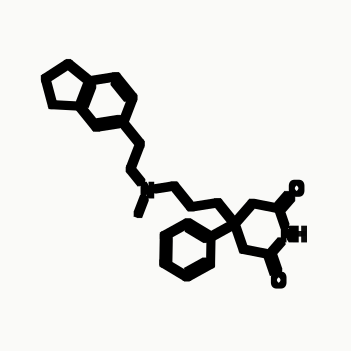 CN(CCCC1(c2ccccc2)CC(=O)NC(=O)C1)CCc1ccc2c(c1)CCC2